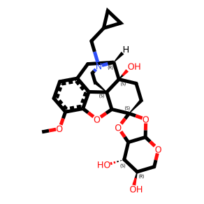 COc1ccc2c3c1OC1[C@]4(CC[C@@]5(O)[C@@H](C2)N(CC2CC2)CC[C@]315)OC1OC[C@@H](O)[C@H](O)C1O4